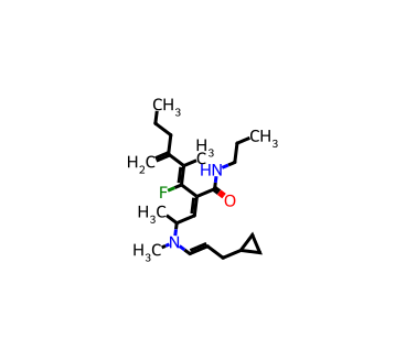 C=C(CCC)/C(C)=C(F)/C(=C\C(C)N(C)C=CCC1CC1)C(=O)NCCC